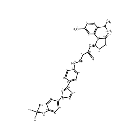 Cc1ccc(C(C)C)c(N2C(=O)CS/C2=N\C(=S)CNNc2ccc(-c3ncn(-c4ccc(OC(F)(F)F)cc4)n3)cc2)c1